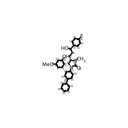 COc1ccc([C@@H]2[C@@H](CCC(O)c3ccc(F)cc3)N(C)C(=O)N2c2ccc(-c3ccccc3)cc2)c(O)c1